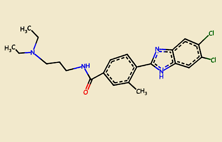 CCN(CC)CCCNC(=O)c1ccc(-c2nc3cc(Cl)c(Cl)cc3[nH]2)c(C)c1